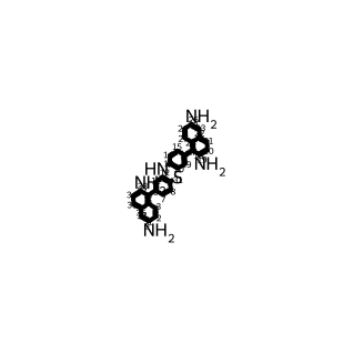 Nc1ccc2c(-c3ccc4c(c3)Nc3ccc(-c5c(N)ccc6cc(N)ccc56)cc3S4)c(N)ccc2c1